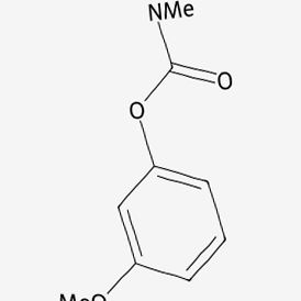 CNC(=O)Oc1cccc(OC)c1